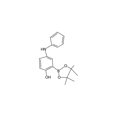 CC1(C)OB(c2cc(Nc3ccccc3)ccc2O)OC1(C)C